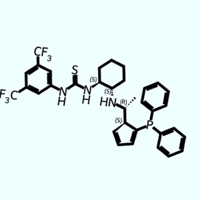 C[C@@H](N[C@H]1CCCC[C@@H]1NC(=S)Nc1cc(C(F)(F)F)cc(C(F)(F)F)c1)[C@@H]1C=CC=C1P(c1ccccc1)c1ccccc1